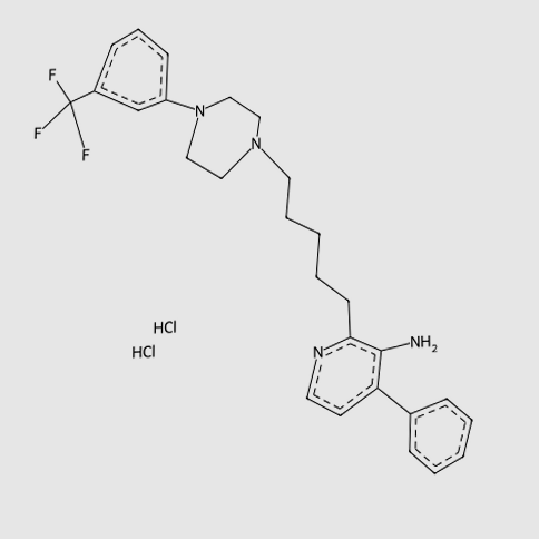 Cl.Cl.Nc1c(-c2ccccc2)ccnc1CCCCCN1CCN(c2cccc(C(F)(F)F)c2)CC1